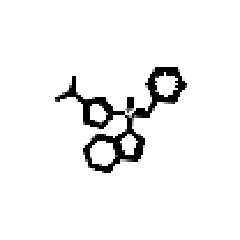 CC(C)C1=CC[C]([Zr]([CH3])(=[CH]c2ccccc2)[CH]2C=CC3=C2CCCC3)=C1